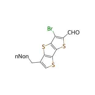 CCCCCCCCCCc1csc2c1sc1c(Br)c(C=O)sc12